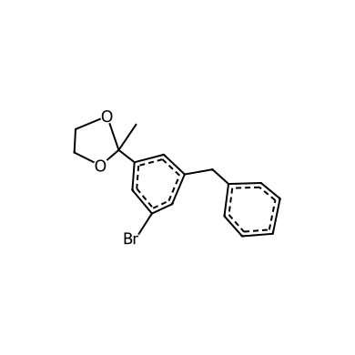 CC1(c2cc(Br)cc(Cc3ccccc3)c2)OCCO1